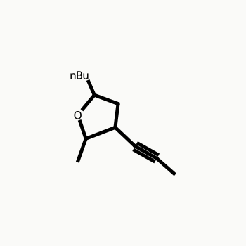 CC#CC1CC(CCCC)OC1C